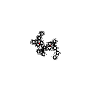 c1ccc(-c2cccc(-c3ccc(-n4c5ccccc5c5ccccc54)c(-c4ccc(-c5nc(-c6ccc(-c7cc(-c8ccccc8)ccc7-n7c8ccccc8c8ccccc87)cc6)nc(-n6c7ccccc7c7ccccc76)n5)cc4)c3)c2)cc1